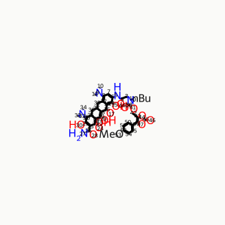 CCCCN(CC(=O)Nc1cc(N(C)C)c2c(c1O)C(=O)C1=C(O)[C@]3(O)C(=O)C(C(N)=O)=C(O)[C@@H](N(C)C)C3CC1C2)C(=O)OCc1oc(=O)oc1-c1ccc(OC)cc1